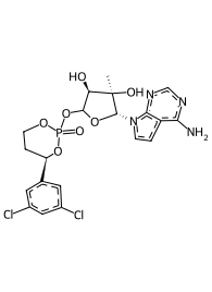 C[C@@]1(O)[C@H](O)C(OP2(=O)OCC[C@H](c3cc(Cl)cc(Cl)c3)O2)O[C@H]1n1ccc2c(N)ncnc21